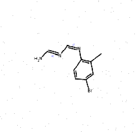 Cc1cc(Br)ccc1/N=C\N=C\N